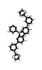 c1ccc(-n2c3cc(-c4cccc(-c5ncco5)c4)ccc3c3ccc(-c4cccc(-c5ncco5)c4)cc32)cc1